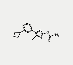 Cc1nc(OC(N)=O)sc1-c1ccnc(C2CCC2)c1